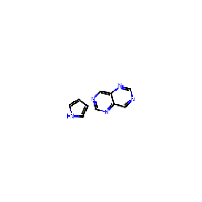 c1cc[nH]c1.c1ncc2ncncc2n1